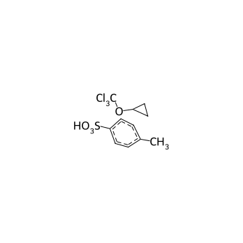 Cc1ccc(S(=O)(=O)O)cc1.ClC(Cl)(Cl)OC1CC1